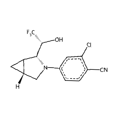 N#Cc1ccc(N2C[C@@H]3CC3[C@@H]2[C@@H](O)C(F)(F)F)cc1Cl